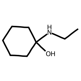 CCNC1(O)CCCCC1